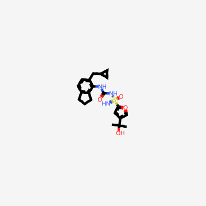 CC(C)(O)c1coc(S(=N)(=O)NC(=O)Nc2c(CC3CC3)ccc3c2CCC3)c1